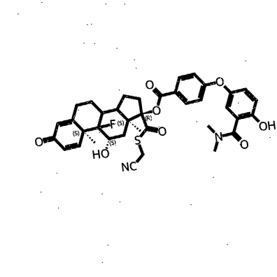 CN(C)C(=O)c1cc(Oc2ccc(C(=O)O[C@]3(C(=O)SCC#N)CCC4C5CCC6=CC(=O)C=C[C@]6(C)C5(F)[C@@H](O)C[C@@]43C)cc2)ccc1O